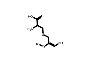 N/C=C(\CSCC(N)C(=O)O)OO